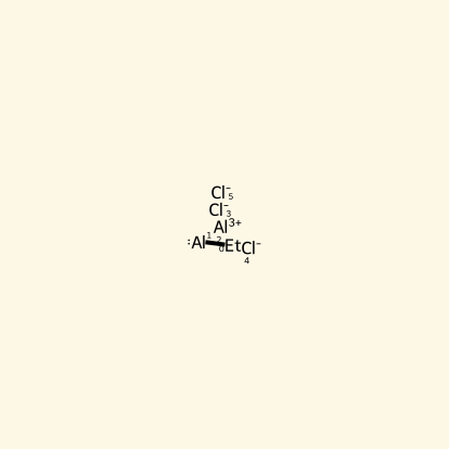 C[CH2][Al].[Al+3].[Cl-].[Cl-].[Cl-]